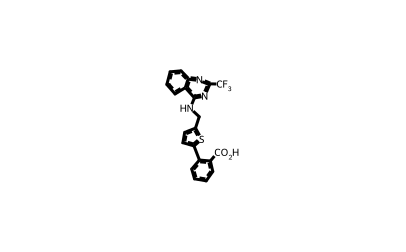 O=C(O)c1ccccc1-c1ccc(CNc2nc(C(F)(F)F)nc3ccccc23)s1